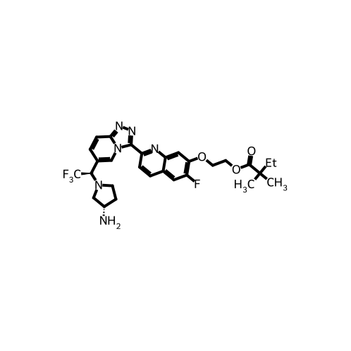 CCC(C)(C)C(=O)OCCOc1cc2nc(-c3nnc4ccc([C@@H](N5CC[C@H](N)C5)C(F)(F)F)cn34)ccc2cc1F